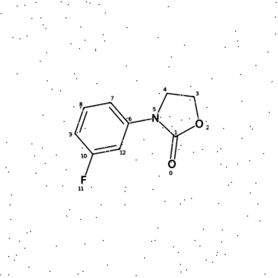 O=C1OCCN1c1c[c]cc(F)c1